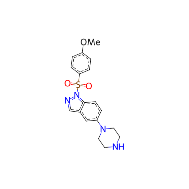 COc1ccc(S(=O)(=O)n2ncc3cc(N4CCNCC4)ccc32)cc1